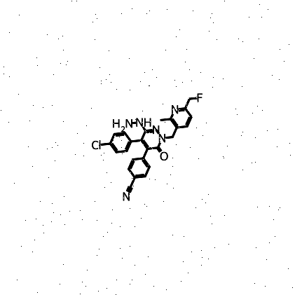 Cc1nc(CF)ccc1Cn1nc(NN)c(-c2ccc(Cl)cc2)c(-c2ccc(C#N)cc2)c1=O